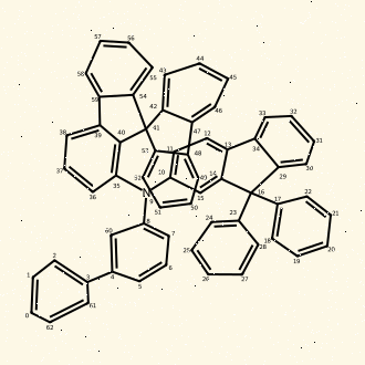 c1ccc(-c2cccc(N(c3ccc4c(c3)C(c3ccccc3)(c3ccccc3)c3ccccc3-4)c3cccc4c3C3(c5ccccc5-c5ccccc53)c3ccccc3-4)c2)cc1